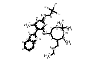 CCNCC1CC(Nc2nc(NCC(F)(F)F)nc(C)c2-c2nc3ccccc3s2)COC(C)(C)O[C@H]1C